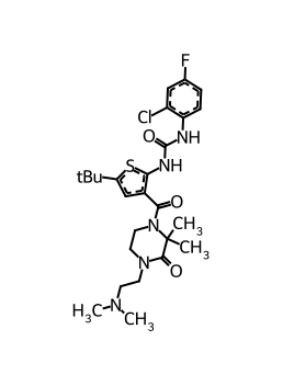 CN(C)CCN1CCN(C(=O)c2cc(C(C)(C)C)sc2NC(=O)Nc2ccc(F)cc2Cl)C(C)(C)C1=O